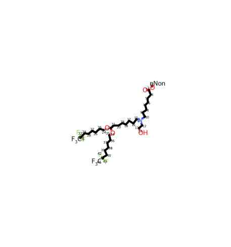 CCCCCCCCCOC(=O)CCCCCCCN(CCO)CCCCCCCC(OCCCCCCC(F)(F)C(F)(F)F)OCCCCCCC(F)(F)C(F)(F)F